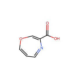 O=C(O)C1=COC=CC=N1